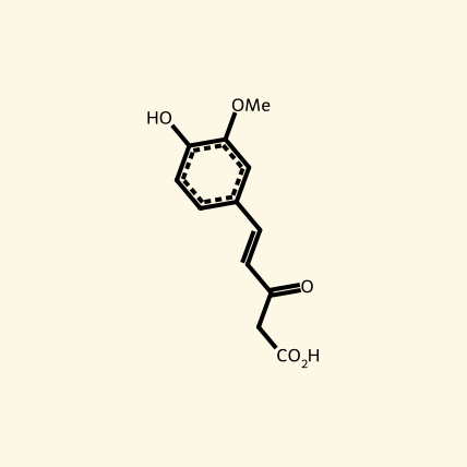 COc1cc(C=CC(=O)CC(=O)O)ccc1O